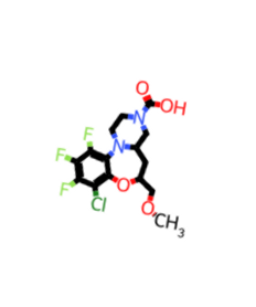 COCC1CC2CN(C(=O)O)CCN2c2c(F)c(F)c(F)c(Cl)c2O1